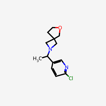 CC(c1ccc(Cl)nc1)N1CC2(CCOC2)C1